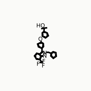 CC(C)(O)c1cccc(Oc2ccc(-c3c4cccc(C(F)(F)F)c4nn3Cc3ccccc3)cc2)c1